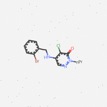 CCCn1ncc(NCc2ccccc2Br)c(Cl)c1=O